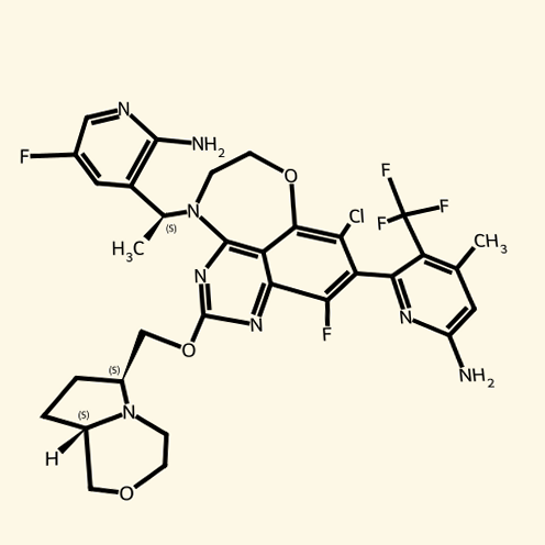 Cc1cc(N)nc(-c2c(Cl)c3c4c(nc(OC[C@@H]5CC[C@H]6COCCN65)nc4c2F)N([C@@H](C)c2cc(F)cnc2N)CCO3)c1C(F)(F)F